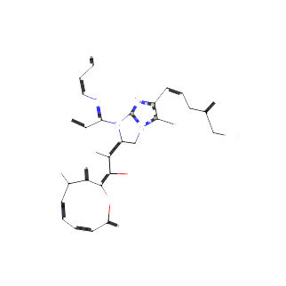 C=C/C=C\N=C(/C=C)N1/C(=C(C)/C(O)=C2/OC(=C)/C=C\C=C/C(C)C2=C)Cn2c1nc(/C=C\CC(=C)CC)c2C